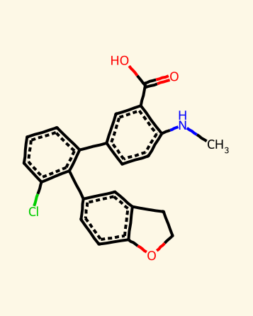 CNc1ccc(-c2cccc(Cl)c2-c2ccc3c(c2)CCO3)cc1C(=O)O